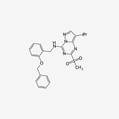 CC(C)c1cnn2c(NCc3ccccc3OCc3ccccc3)nc(S(C)(=O)=O)nc12